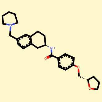 O=C(N[C@H]1CCc2cc(CN3CCCCC3)ccc2C1)c1ccc(OC[C@@H]2CCCO2)cc1